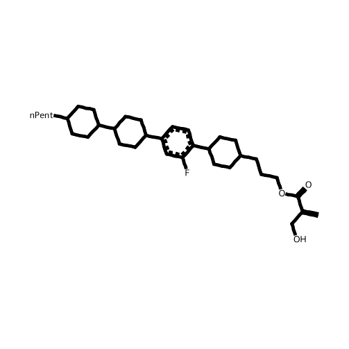 C=C(CO)C(=O)OCCCC1CCC(c2ccc(C3CCC(C4CCC(CCCCC)CC4)CC3)cc2F)CC1